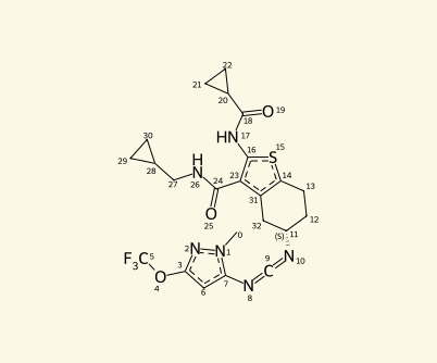 Cn1nc(OC(F)(F)F)cc1N=C=N[C@H]1CCc2sc(NC(=O)C3CC3)c(C(=O)NCC3CC3)c2C1